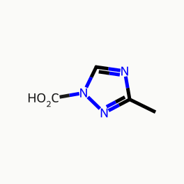 Cc1ncn(C(=O)O)n1